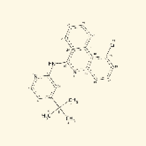 CC(C)(C)c1ccnc(Nc2nc3cccc(Cl)c3c3ccccc23)c1